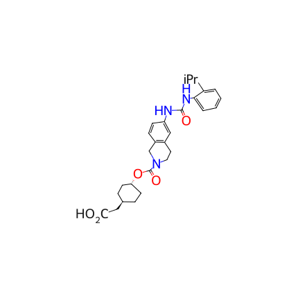 CC(C)c1ccccc1NC(=O)Nc1ccc2c(c1)CCN(C(=O)O[C@H]1CC[C@H](CC(=O)O)CC1)C2